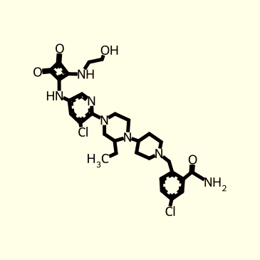 CCC1CN(c2ncc(Nc3c(NCCO)c(=O)c3=O)cc2Cl)CCN1C1CCN(Cc2ccc(Cl)cc2C(N)=O)CC1